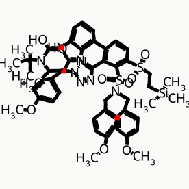 COc1ccc(CN(Cc2ccc(OC)cc2)S(=O)(=O)c2c(S(=O)(=O)CC[Si](C)(C)C)ccc(-c3cccc4[nH]c(CC(C)N(C(=O)O)C(C)(C)C)nc34)c2-c2nnn(Cc3ccc(OC)cc3)n2)cc1